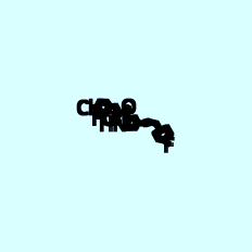 O=C1Nc2ccc(C#CCc3ccc(F)cc3)cc2C(=O)/C1=C/c1ccc(Cl)c(F)c1